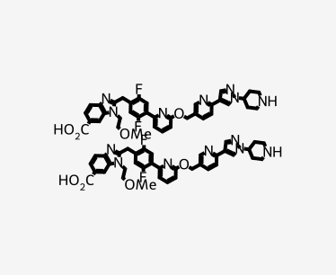 COCCn1c(Cc2cc(F)c(-c3cccc(OCc4ccc(-c5cnn(C6CCNCC6)c5)nc4)n3)cc2F)nc2ccc(C(=O)O)cc21.COCCn1c(Cc2cc(F)c(-c3cccc(OCc4ccc(-c5cnn(C6CCNCC6)c5)nc4)n3)cc2F)nc2ccc(C(=O)O)cc21